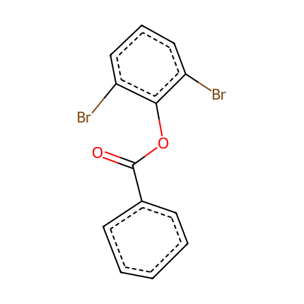 O=C(Oc1c(Br)cccc1Br)c1ccccc1